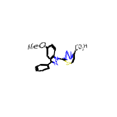 COc1ccc2c(c1)c(-c1ccccc1)nn2-c1nc(C(=O)O)cs1